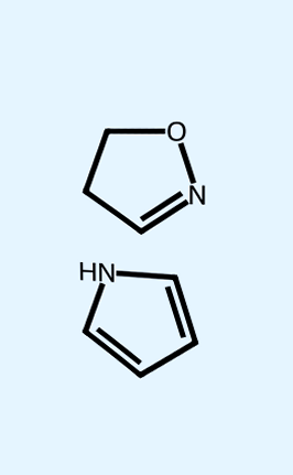 C1=NOCC1.c1cc[nH]c1